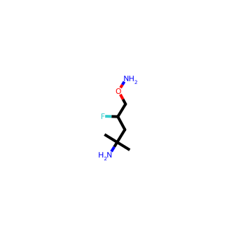 CC(C)(N)CC(F)CON